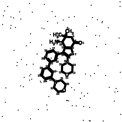 CC1(C)CC(=O)c2sc(N3CCOCC3)c(-c3ccnc(-c4cccc(N5CCOCC5)c4)c3)c2[C@H]1N